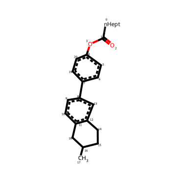 CCCCCCCC(=O)Oc1ccc(-c2ccc3c(c2)CCC(C)C3)cc1